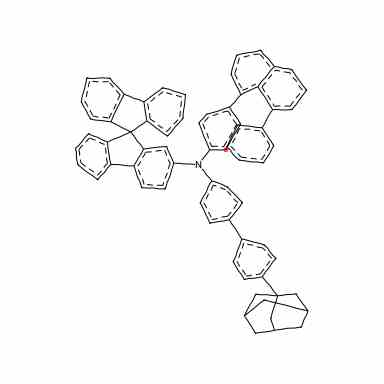 c1ccc(-c2cccc3cccc(-c4ccc(N(c5ccc(-c6ccc(C78CC9CC(CC(C9)C7)C8)cc6)cc5)c5ccc6c(c5)C5(c7ccccc7-c7ccccc75)c5ccccc5-6)cc4)c23)cc1